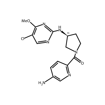 COc1nc(N[C@H]2CCN(C(=O)c3ccc(N)cn3)C2)ncc1Cl